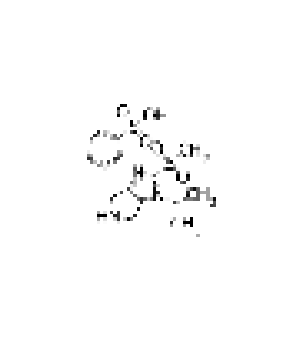 CC(C)n1c(S(C)(=O)=O)nc2c1CNC2.O=S(=O)(O)c1ccccc1